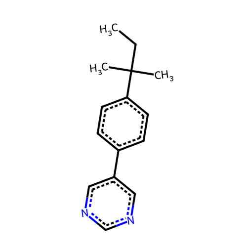 CCC(C)(C)c1ccc(-c2cncnc2)cc1